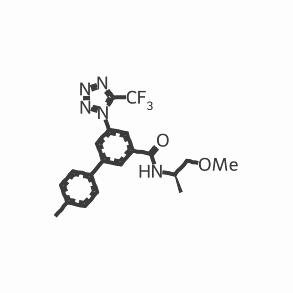 COC[C@@H](C)NC(=O)c1cc(-c2ccc(C)cc2)cc(-n2nnnc2C(F)(F)F)c1